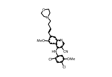 COc1cc(Nc2c(C#N)cnc3cc(C=CCCN4CCOCC4)c(OC)cc23)c(Cl)cc1Cl